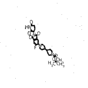 CC(C)(C)OC(=O)N1CCC(C2CCN(c3cc4c(cc3F)C(=O)N(C3CCC(=O)NC3=O)C4=O)CC2)CC1